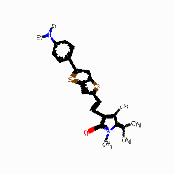 CCN(CC)c1ccc(-c2cc3sc(/C=C/C4=C(C#N)C(=C(C#N)C#N)N(C)C4=O)cc3s2)cc1